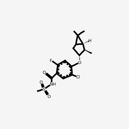 C[C@@H]1[C@H]2C(C[C@H]1Oc1cc(F)c(C(=O)NS(C)(=O)=O)cc1Cl)C2(C)C